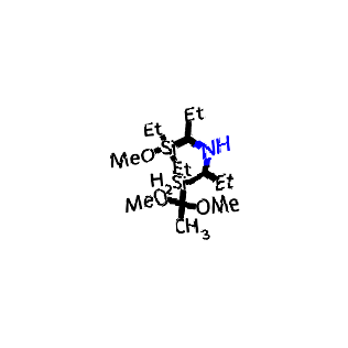 CCC(NC(CC)[Si](CC)(CC)OC)[SiH2]C(C)(OC)OC